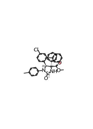 COC(=O)[C@@]1(c2ccccc2)N[S@+]([O-])N(c2ccc(C)cc2)[C@H]1c1ccc(Cl)cc1-c1ccccc1